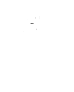 CC(C)C(CCCCc1cccc2ccccc12)C(=O)N1CCC[C@H]1C(=O)O